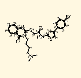 CN(C)CCCCn1c(SCC(=O)Nc2nc(-c3ccc(Br)cc3)cs2)nc2ccccc2c1=O